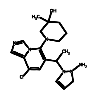 CC(c1cc(Cl)c2cncn2c1N1CCCC(C)(O)C1)N1C=CCN1N